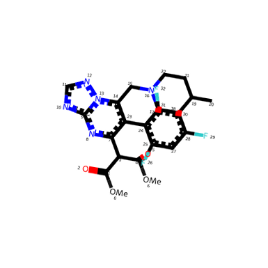 COC(=O)C(C(=O)OC)c1nc2ncnn2c(CN2CCC(C)CC2)c1-c1c(F)cc(F)cc1F